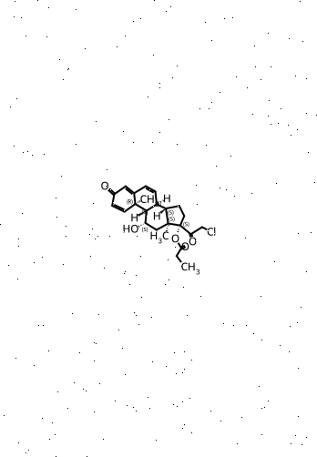 CCC(=O)O[C@@]1(C(=O)CCl)CC[C@H]2[C@@H]3C=CC4=CC(=O)C=C[C@]4(C)[C@H]3[C@@H](O)C[C@@]21C